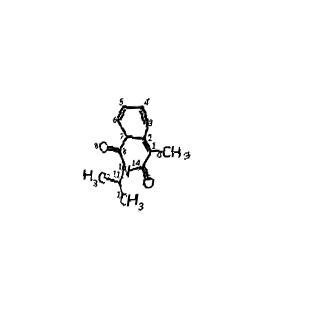 CC1=C2C=CC=CC2C(=O)N(C(C)C)C1=O